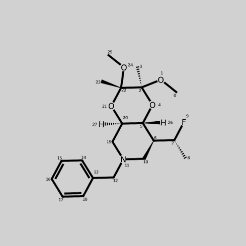 CO[C@@]1(C)O[C@@H]2[C@@H]([C@@H](C)F)CN(Cc3ccccc3)C[C@H]2O[C@]1(C)OC